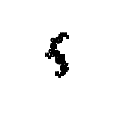 COc1ccc(-c2cnc3c(Nc4ccc(C(=O)N5CCN(C(=O)N6CCO[C@H](CN)C6)CC5)c(C)c4)nccn23)c(F)c1F